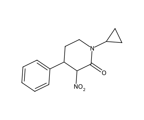 O=C1C([N+](=O)[O-])C(c2ccccc2)CCN1C1CC1